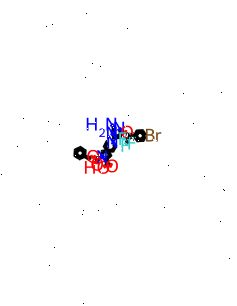 Nc1nc(O[C@H](c2ccc(Br)cc2)C(F)(F)F)cc(N2CCC3(CC2)CC(C(=O)O)N(C(=O)OCc2ccccc2)C3)n1